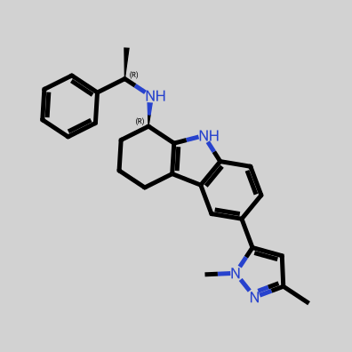 Cc1cc(-c2ccc3[nH]c4c(c3c2)CCC[C@H]4N[C@H](C)c2ccccc2)n(C)n1